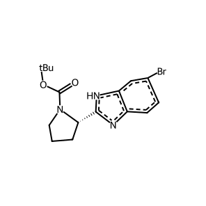 CC(C)(C)OC(=O)N1CCC[C@H]1c1nc2ccc(Br)cc2[nH]1